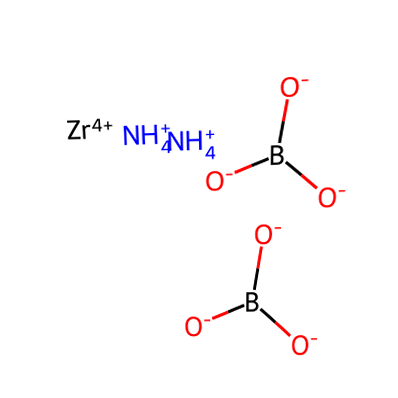 [NH4+].[NH4+].[O-]B([O-])[O-].[O-]B([O-])[O-].[Zr+4]